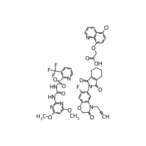 C#CCN1C(=O)COc2cc(F)c(N3C(=O)C4=C(CCCC4)C3=O)cc21.COc1cc(OC)nc(NC(=O)NS(=O)(=O)c2ncccc2C(F)(F)F)n1.O=C(O)COc1ccc(Cl)c2cccnc12